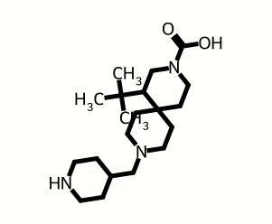 CC(C)(C)C1CN(C(=O)O)CCC12CCN(CC1CCNCC1)CC2